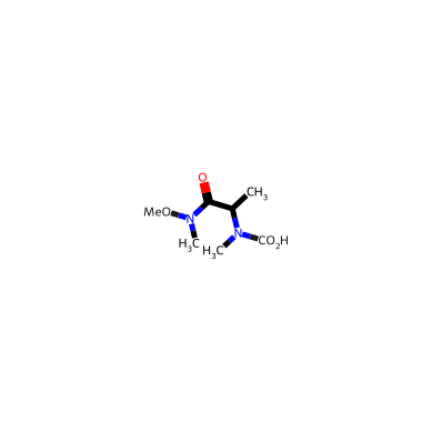 CON(C)C(=O)C(C)N(C)C(=O)O